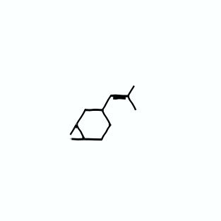 CCOC(=O)C(C)=CC1CCC2OC2C1